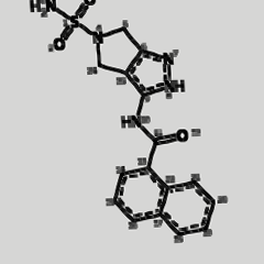 NS(=O)(=O)N1Cc2n[nH]c(NC(=O)c3cccc4ccccc34)c2C1